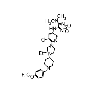 CC[C@H]1CN(c2ncc(NC3=NS(=O)(=O)N=C3N(C)C)cc2Cl)CCN1C1CCN(Cc2ccc(OC(F)(F)F)cc2)CC1